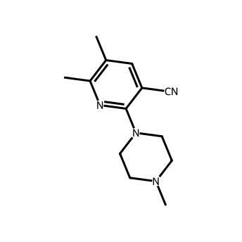 Cc1cc(C#N)c(N2CCN(C)CC2)nc1C